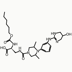 CCCCCCOC(=O)N[C@@H](CNC(=O)N1CC(C)N(c2cccc(NC3=NCC(O)CN3)c2)C(C)C1)C(=O)O